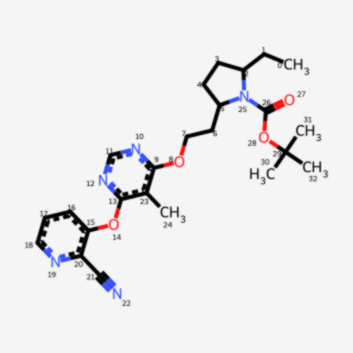 CCC1CCC(CCOc2ncnc(Oc3cccnc3C#N)c2C)N1C(=O)OC(C)(C)C